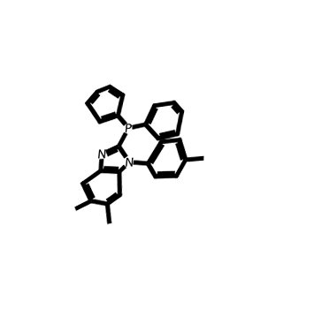 Cc1ccc(-n2c(P(c3ccccc3)c3ccccc3)nc3cc(C)c(C)cc32)cc1